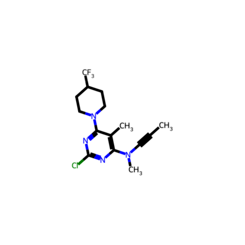 CC#CN(C)c1nc(Cl)nc(N2CCC(C(F)(F)F)CC2)c1C